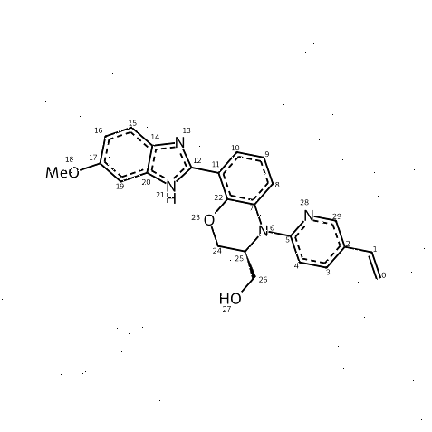 C=Cc1ccc(N2c3cccc(-c4nc5ccc(OC)cc5[nH]4)c3OC[C@@H]2CO)nc1